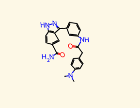 CN(C)c1ccc(CC(=O)Nc2cccc(-c3n[nH]c4ccc(C(N)=O)cc34)c2)cc1